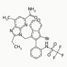 CCc1nc2c(C)cc(C(N)=O)nc2n1Cc1c2ccocc-2c(Br)c1-c1ccccc1NS(=O)(=O)C(F)(F)F